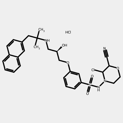 CC(C)(Cc1ccc2ccccc2c1)NC[C@@H](O)COc1cccc(S(=O)(=O)NN2CCOC(C#N)C2Cl)c1.Cl